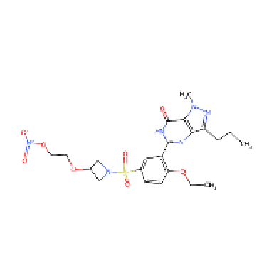 CCCc1nn(C)c2c(=O)[nH]c(-c3cc(S(=O)(=O)N4CC(OCCO[N+](=O)[O-])C4)ccc3OCC)nc12